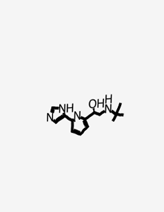 CC(C)(C)NC[C@H](O)c1cccc(-c2cnc[nH]2)n1